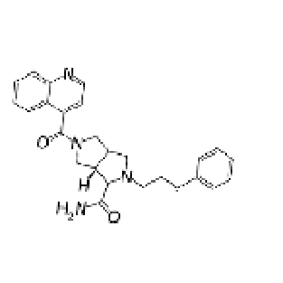 NC(=O)C1[C@@H]2CN(C(=O)c3ccnc4ccccc34)CC2CN1CC[CH]c1ccccc1